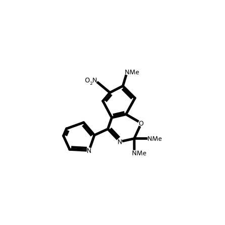 CNc1cc2c(cc1[N+](=O)[O-])C(c1ccccn1)=NC(NC)(NC)O2